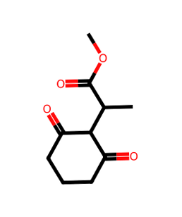 COC(=O)C(C)C1C(=O)CCCC1=O